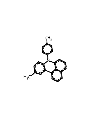 Cc1ccc(N2c3ccc(C)cc3-c3cccc4cccc2c34)cc1